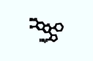 COc1cc2nc(N3CCCCC3)c(C3CCCN3C(=O)O)cc2cc1Br